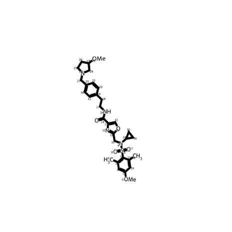 COc1cc(C)c(S(=O)(=O)N(Cc2nc(C(=O)NCCc3ccc(CN4CCC(OC)C4)cc3)co2)C2CC2)c(C)c1